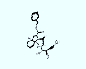 CCC[C@H](N[C@@H](C)C(=O)N1[C@H](C(=O)OCc2ccccc2)C[C@@H]2CCCC[C@@H]21)C(=O)C#CO